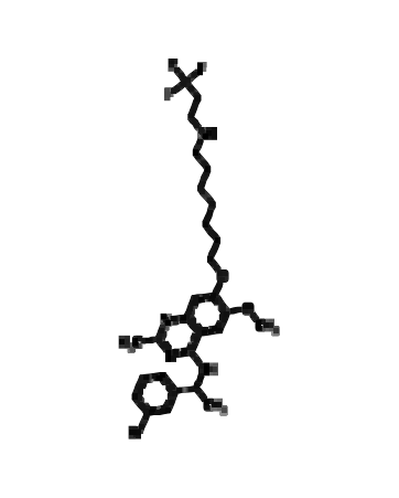 COc1cc2c(NC(C)c3cccc(Br)c3)nc(C)nc2cc1OCCCCCCCNCCC(F)(F)F